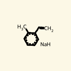 C=Cc1ccccc1C.[NaH]